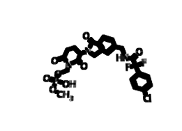 COP(=O)(O)OCN1C(=O)CCC(N2Cc3cc(CNC(=O)C(F)(F)c4ccc(Cl)cc4)ccc3C2=O)C1=O